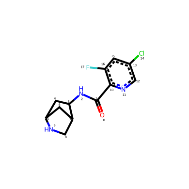 O=C(NC1CC2CC1CN2)c1ncc(Cl)cc1F